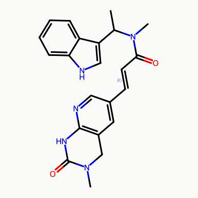 CC(c1c[nH]c2ccccc12)N(C)C(=O)/C=C/c1cnc2c(c1)CN(C)C(=O)N2